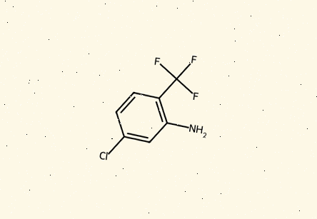 Nc1cc(Cl)ccc1C(F)(F)F